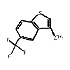 Cc1csc2ccc(C(F)(F)F)cc12